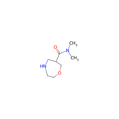 CN(C)C(=O)C1CNCCOC1